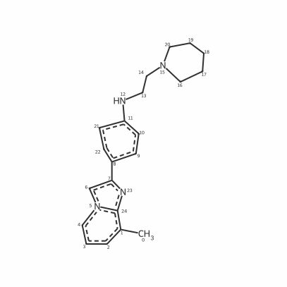 Cc1cccn2cc(-c3ccc(NCCN4CCCCC4)cc3)nc12